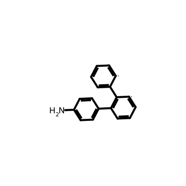 Nc1ccc(-c2ccc[c]c2-c2[c]cccc2)cc1